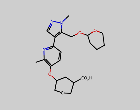 Cc1nc(-c2cnn(C)c2COC2CCCCO2)ccc1OC1CCCC(C(=O)O)C1